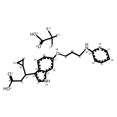 O=C(O)C(F)(F)F.O=C(O)CC(c1c[nH]c2cc(OCCCNc3ccccn3)ccc12)C1CC1